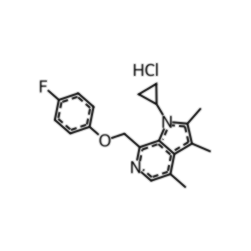 Cc1cnc(COc2ccc(F)cc2)c2c1c(C)c(C)n2C1CC1.Cl